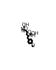 COc1ccc(CC(CCc2nnc(O)o2)NC(=O)O)cc1